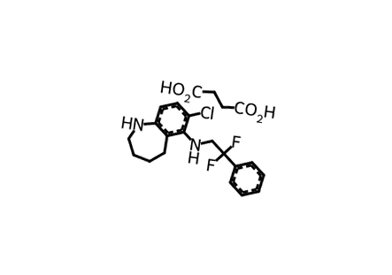 FC(F)(CNc1c(Cl)ccc2c1CCCCN2)c1ccccc1.O=C(O)CCC(=O)O